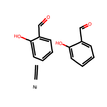 C=C.O=Cc1ccccc1O.O=Cc1ccccc1O.[Ni]